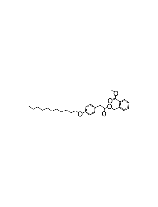 CCCCCCCCCCCOc1ccc(CC(=O)OCc2ccccc2C(=O)OC)cc1